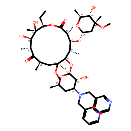 CC[C@H]1OC(=O)[C@H](C)[C@@H](O[C@H]2C[C@@](C)(OC)[C@@H](O)[C@H](C)O2)[C@H](C)[C@@H](O[C@@H]2O[C@H](C)C[C@H](N(Cc3cccnc3)Cc3cccnc3)[C@H]2O)[C@@](C)(OC)C[C@@H](C)C(=O)[C@H](C)[C@@H](O)[C@]1(C)O